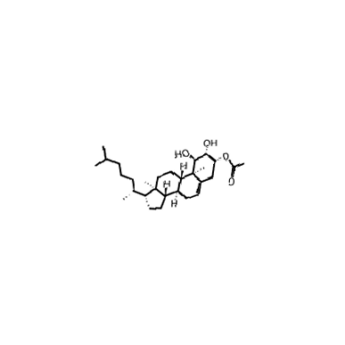 CC(=O)O[C@@H]1CC2=CC[C@H]3[C@@H]4CC[C@H]([C@H](C)CCCC(C)C)[C@@]4(C)CC[C@@H]3[C@@]2(C)[C@@H](O)[C@@H]1O